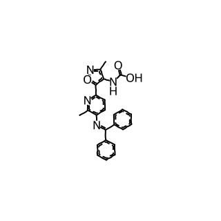 Cc1nc(-c2onc(C)c2NC(=O)O)ccc1N=C(c1ccccc1)c1ccccc1